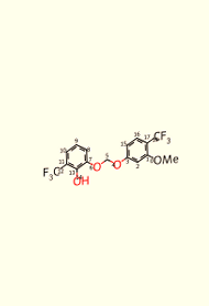 COc1cc(OCOc2cccc(C(F)(F)F)c2O)ccc1C(F)(F)F